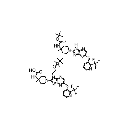 CC1(NC(=O)O)CCN(c2nc3nc(Sc4cccnc4C(F)(F)F)cnc3n2CCO[Si](C)(C)C(C)(C)C)CC1.CC1(NC(=O)OC(C)(C)C)CCN(c2nc3nc(Sc4cccnc4C(F)(F)F)cnc3[nH]2)CC1